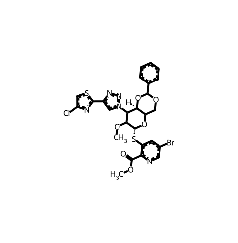 COC(=O)c1ncc(Br)cc1S[C@H]1OC2COC(c3ccccc3)O[C@@H]2C(n2cc(-c3nc(Cl)cs3)nn2)C1OC